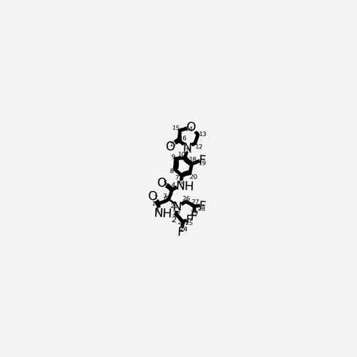 NC(=O)[C@@H](C(=O)Nc1ccc(N2CCOCC2=O)c(F)c1)N(CC(F)F)CC(F)F